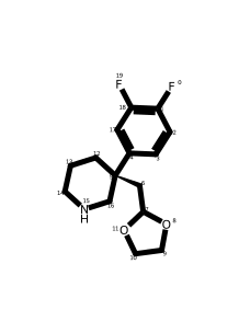 Fc1ccc([C@@]2(CC3OCCO3)CCCNC2)cc1F